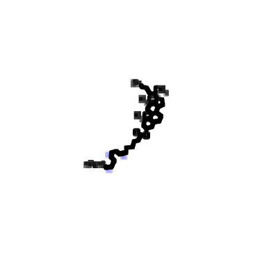 CCCCC/C=C\C/C=C\C/C=C\CCCCC(=O)OC1CC[C@@]2(C)C(=CCC3C2CC[C@@]2(C)C3CC[C@@H]2[C@H](C)CCCC(C)C)C1